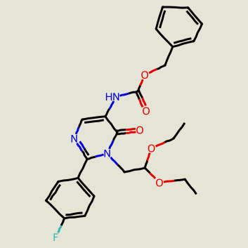 CCOC(Cn1c(-c2ccc(F)cc2)ncc(NC(=O)OCc2ccccc2)c1=O)OCC